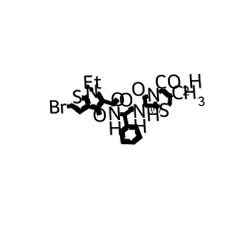 CCn1cc(C(=O)NC(C(=O)NC2C(=O)N3C(C(=O)O)=C(C)CS[C@H]23)c2ccccc2)c(=O)c2cc(Br)sc21